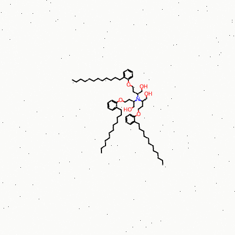 CCCCCCCCCCCCc1ccccc1OCCC(CO)N(C(CO)CCOc1ccccc1CCCCCCCCCCCC)C(CO)CCOc1ccccc1CCCCCCCCCCCC